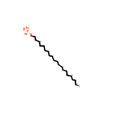 O=C(O)CCCCCCCCCCCCCCCCCCCCCOP(=O)(O)O